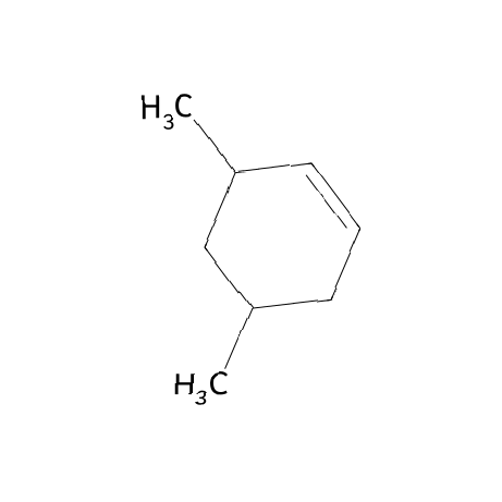 CC1C=CCC(C)C1